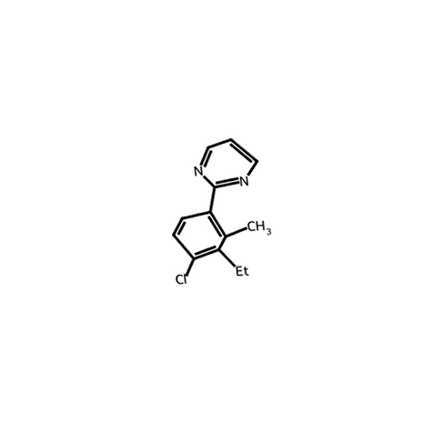 CCc1c(Cl)ccc(-c2ncccn2)c1C